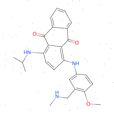 CNCc1cc(Nc2ccc(NC(C)C)c3c2C(=O)c2ccccc2C3=O)ccc1OC